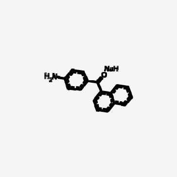 Nc1ccc(C(=O)c2cccc3ccccc23)cc1.[NaH]